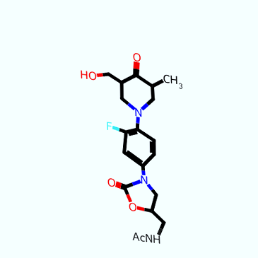 CC(=O)NCC1CN(c2ccc(N3CC(C)C(=O)C(CO)C3)c(F)c2)C(=O)O1